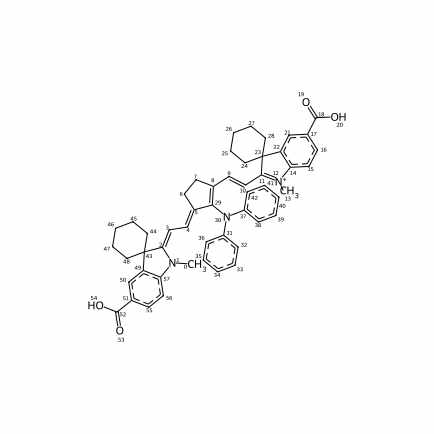 CN1C(=CC=C2CCC(C=CC3=[N+](C)c4ccc(C(=O)O)cc4C34CCCCC4)=C2N(c2ccccc2)c2ccccc2)C2(CCCCC2)c2cc(C(=O)O)ccc21